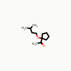 CC(=O)C1(OCCC(C)C)CCCC1